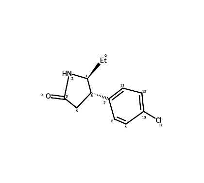 CC[C@@H]1NC(=O)C[C@H]1c1ccc(Cl)cc1